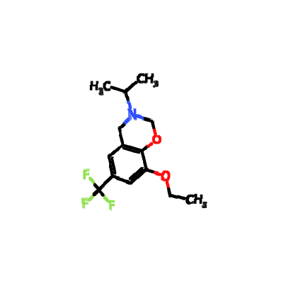 CCOc1cc(C(F)(F)F)cc2c1OCN(C(C)C)C2